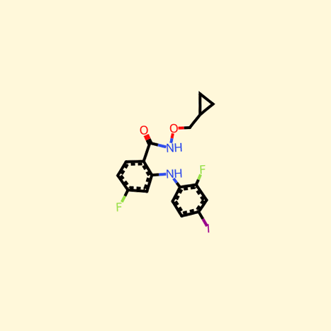 O=C(NOCC1CC1)c1ccc(F)cc1Nc1ccc(I)cc1F